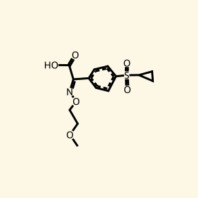 COCCO/N=C(/C(=O)O)c1ccc(S(=O)(=O)C2CC2)cc1